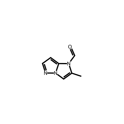 Cc1cn2nccc2n1C=O